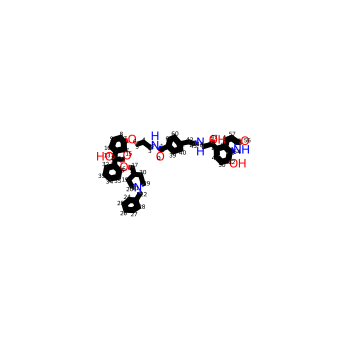 O=C(NCCCOc1cccc(C(O)(C(=O)OCC2CCN(Cc3ccccc3)CC2)c2ccccc2)c1)c1ccc(CCNCC(O)c2ccc(O)c3[nH]c(=O)ccc23)cc1